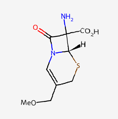 COCC1=CN2C(=O)C(N)(C(=O)O)[C@@H]2SC1